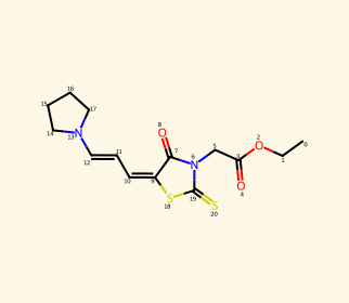 CCOC(=O)CN1C(=O)/C(=C\C=C\N2CCCC2)SC1=S